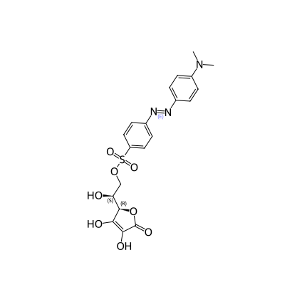 CN(C)c1ccc(/N=N/c2ccc(S(=O)(=O)OC[C@H](O)[C@H]3OC(=O)C(O)=C3O)cc2)cc1